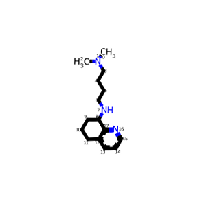 CN(C)CCCCNC1CCCc2cccnc21